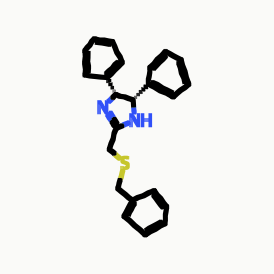 c1ccc(CSCC2=N[C@H](c3ccccc3)[C@H](c3ccccc3)N2)cc1